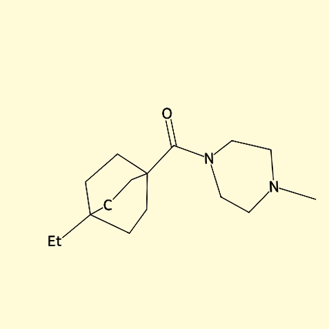 CCC12CCC(C(=O)N3CCN(C)CC3)(CC1)CC2